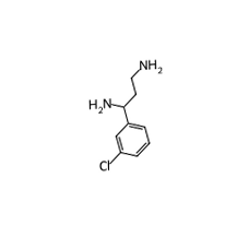 NCCC(N)c1cccc(Cl)c1